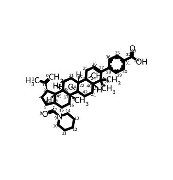 C=C(C)[C@@H]1CC[C@]2(C(=O)N3CCCCC3)CC[C@]3(C)[C@H](CC[C@@H]4[C@@]5(C)CC=C(c6ccc(C(=O)O)cc6)C(C)(C)[C@@H]5CC[C@]43C)[C@@H]12